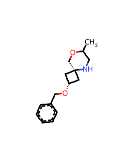 CC1CN[C@]2(CO1)C[C@@H](OCc1ccccc1)C2